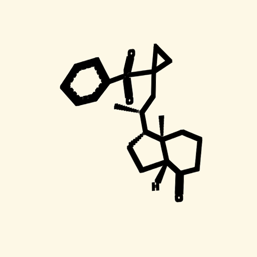 C[C@H](CC1(S(=O)(=O)c2ccccc2)CC1)[C@H]1CC[C@H]2C(=O)CCC[C@]12C